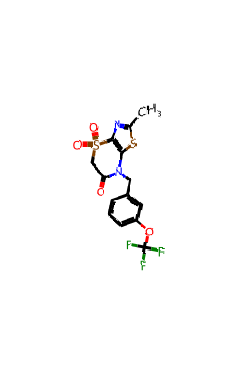 Cc1nc2c(s1)N(Cc1cccc(OC(F)(F)F)c1)C(=O)CS2(=O)=O